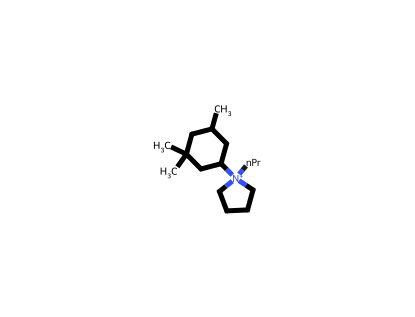 CCC[N+]1(C2CC(C)CC(C)(C)C2)CCCC1